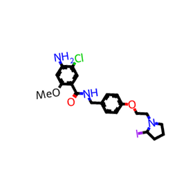 COc1cc(N)c(Cl)cc1C(=O)NCc1ccc(OCCN2CCCC2I)cc1